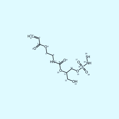 C=CC(=O)OCCNC(=O)OC(CO)COS(=O)(=O)NS